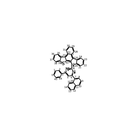 c1ccc(-c2cc(-c3cccc4ccccc34)nc(-n3c4ccccc4c4c5ccccc5c5c6ccccc6sc5c43)n2)cc1